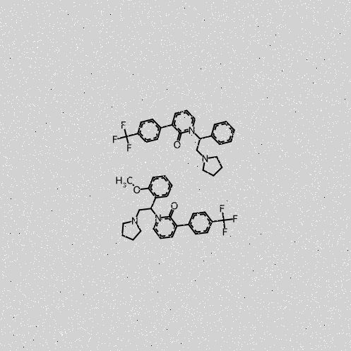 COc1ccccc1C(CN1CCCC1)n1cccc(-c2ccc(C(F)(F)F)cc2)c1=O.O=c1c(-c2ccc(C(F)(F)F)cc2)cccn1C(CN1CCCC1)c1ccccc1